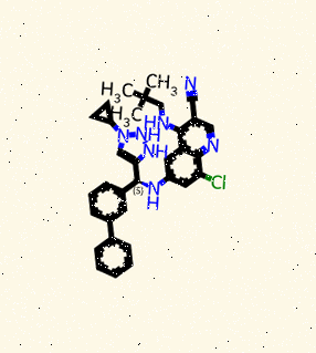 CC(C)(C)CNc1c(C#N)cnc2c(Cl)cc(N[C@H](C3=CN(C4CC4)NN3)c3cccc(-c4ccccc4)c3)cc12